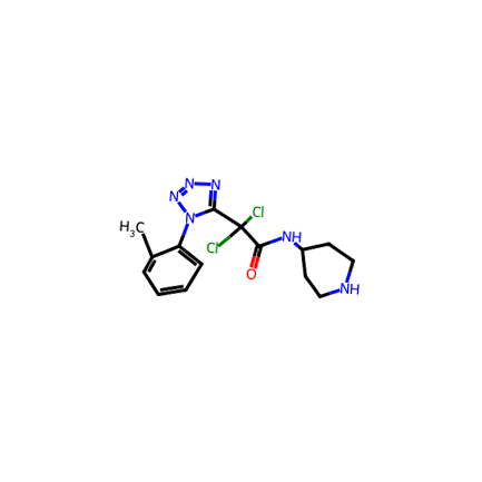 Cc1ccccc1-n1nnnc1C(Cl)(Cl)C(=O)NC1CCNCC1